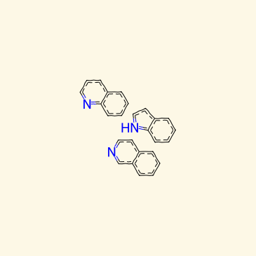 c1ccc2[nH]ccc2c1.c1ccc2cnccc2c1.c1ccc2ncccc2c1